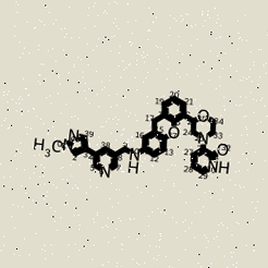 Cn1cc(-c2cncc(CNc3ccc4c(c3)Cc3cccc(C5CN(c6ccc[nH]c6=O)CCO5)c3O4)c2)cn1